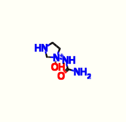 NC(=O)N[N+]1(O)CCNC1